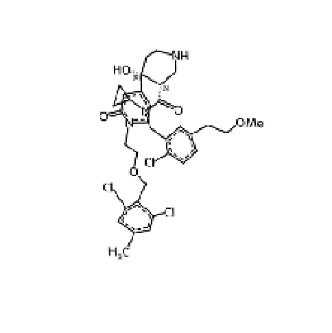 COCCc1ccc(Cl)c(CN(C(=O)[C@H]2CNCC[C@]2(O)c2ccn(CCOCc3c(Cl)cc(C)cc3Cl)c(=O)c2)C2CC2)c1